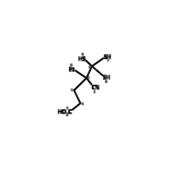 CCC(C#N)(CCC(=O)O)C(S)(S)S